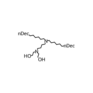 CCCCCCCCCCCCCCCCN(CCCCCCCCCCCCCCCC)CCCCN(CCO)CCO